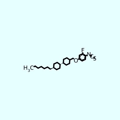 CCCCCCC[C@H]1CC[C@H](C2CCC(COc3ccc(N=C=S)c(F)c3)CC2)CC1